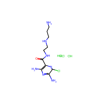 Cl.Cl.Cl.NCCCNCCNC(=O)c1nc(Cl)c(N)nc1N